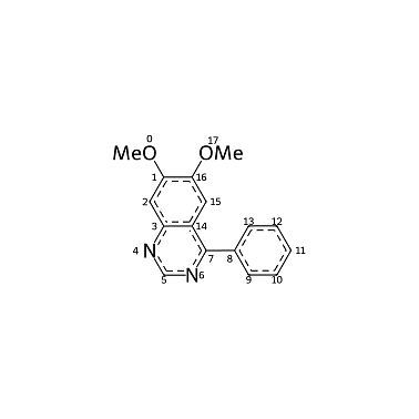 COc1cc2ncnc(-c3ccccc3)c2cc1OC